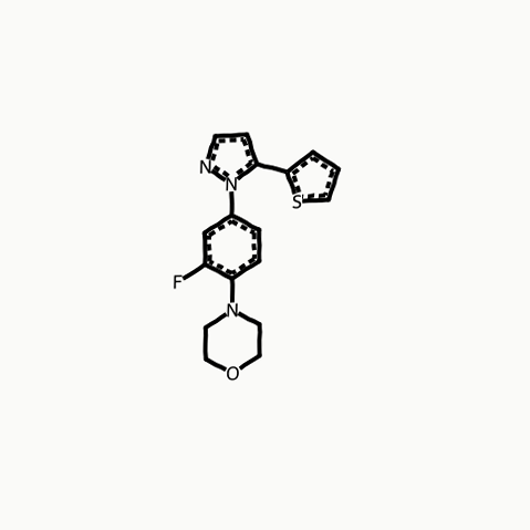 Fc1cc(-n2nccc2-c2cccs2)ccc1N1CCOCC1